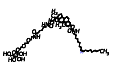 CCCCCCCC/C=C\CCCCCCCCNC(=O)O[C@@H]1CC[C@@]2(C)C(CCC3C4CCC(C(C)CCC(=O)NCCCCCC(=O)NCCOCCOCCO[C@H]5OC(CO)[C@@H](O)C(O)[C@H]5O)[C@@]4(C)CCC32)C1